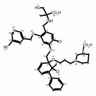 CC(CO)(NCc1cc(Cl)c(OCC2(OCCCN3CCC[C@H](C(=O)O)C3)C=CC=C(c3ccccc3)C2(C)Cl)cc1OCc1cncc(C#N)c1)C(=O)O